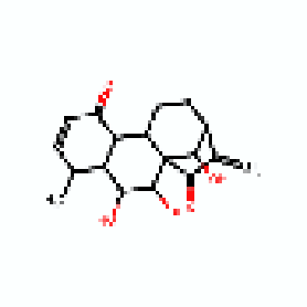 C=C1C(=O)C23C(O)C1CCC2C1C(=O)C=CC(C)C1C(O)C3O